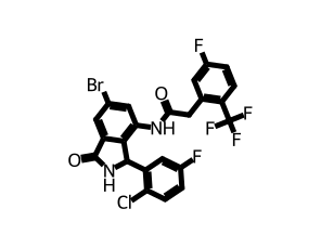 O=C(Cc1cc(F)ccc1C(F)(F)F)Nc1cc(Br)cc2c1C(c1cc(F)ccc1Cl)NC2=O